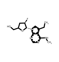 CCc1cn([C@@H]2OC(CO)C[C@H]2F)c2ncnc(NC)c12